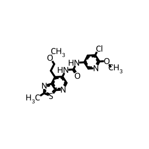 COCCc1c(NC(=O)Nc2cnc(OC)c(Cl)c2)cnc2sc(C)nc12